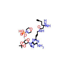 C#CCCC1(CC(=O)NCC#Cc2nc(N)c3ncn([C@H]4O[C@@H](COP(=O)(O)N5CCOCC5)C5OC(C)(C)OC54)c3n2)NN1